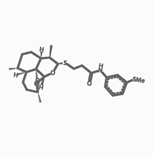 CSc1cccc(NC(=O)CCS[C@@H]2O[C@@H]3O[C@]4(C)CC[C@H]5[C@H](C)CC[C@@H]([C@H]2C)[C@@]35OO4)c1